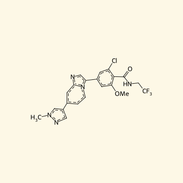 COc1cc(-c2cnc3cc(-c4cnn(C)c4)ccn23)cc(Cl)c1C(=O)NCC(F)(F)F